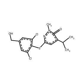 CC(C)c1cc(Sc2c(Cl)cc(CO)cc2Cl)nn(C)c1=O